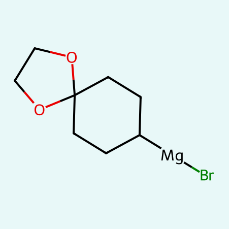 [Br][Mg][CH]1CCC2(CC1)OCCO2